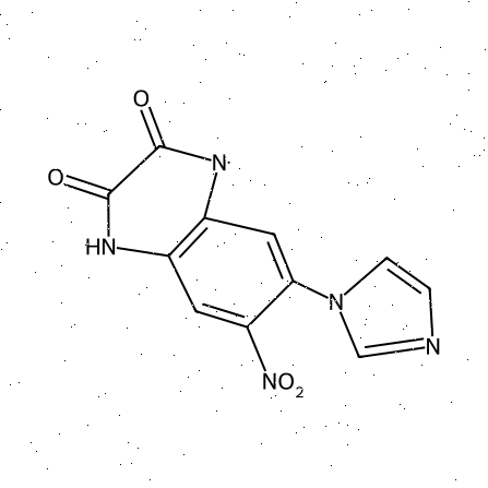 O=C1[N]c2cc(-n3ccnc3)c([N+](=O)[O-])cc2NC1=O